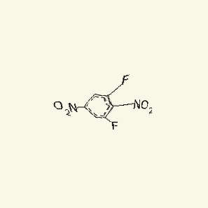 O=[N+]([O-])c1cc(F)c([N+](=O)[O-])c(F)c1